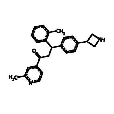 Cc1cc(C(=O)CC(c2ccc(C3CNC3)cc2)c2ccccc2C)ccn1